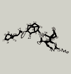 CSc1ncc(C(=O)NC2C3CC4CC2CC(OCc2ccccc2)(C4)C3)c(C2(C)CC2)n1